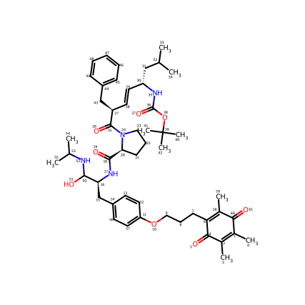 CC1=C(C)C(=O)C(CCCOc2ccc(C[C@H](NC(=O)[C@@H]3CCCN3C(=O)[C@H](/C=C/[C@H](CC(C)C)NC(=O)OC(C)(C)C)Cc3ccccc3)C(O)NC(C)C)cc2)=C(C)C1=O